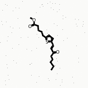 CCCCCC(=O)C=Cc1ccc(CCCCC(=O)OC)s1